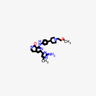 COCCN1CCC(c2ccc(Nc3nc(-c4cc(C)nc(N)n4)cc4c3C(=O)[N]C=C4)cc2)CC1